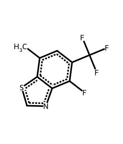 Cc1cc(C(F)(F)F)c(F)c2ncsc12